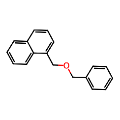 c1ccc(COCc2cccc3ccccc23)cc1